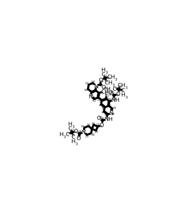 Cc1c(-c2cc3cc(NC(=O)OC4CC5(CCN(C(=O)OC(C)(C)C)CC5)C4)ncc3c(NC(=O)OC(C)(C)C)c2F)cnc2c1N(C(=O)OC(C)(C)C)CCC2